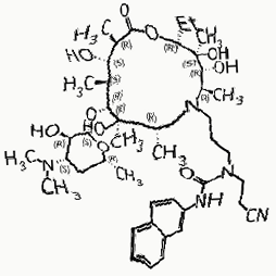 CC[C@H]1OC(=O)[C@H](C)[C@@H](O)[C@H](C)[C@@H](O[C@@H]2O[C@H](C)C[C@H](N(C)C)[C@H]2O)[C@](C)(O)C[C@@H](C)CN(CCCN(CCC#N)C(=O)Nc2ccc3ccccc3c2)[C@H](C)[C@@H](O)[C@]1(C)O